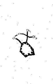 CC1(C)OOc2c[c]ccc21